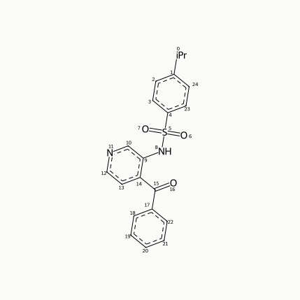 CC(C)c1ccc(S(=O)(=O)Nc2cnccc2C(=O)c2ccccc2)cc1